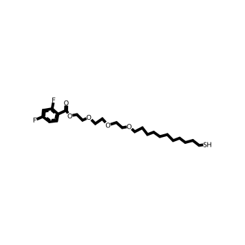 O=C(OCCOCCOCCOCCCCCCCCCCCS)c1ccc(F)cc1F